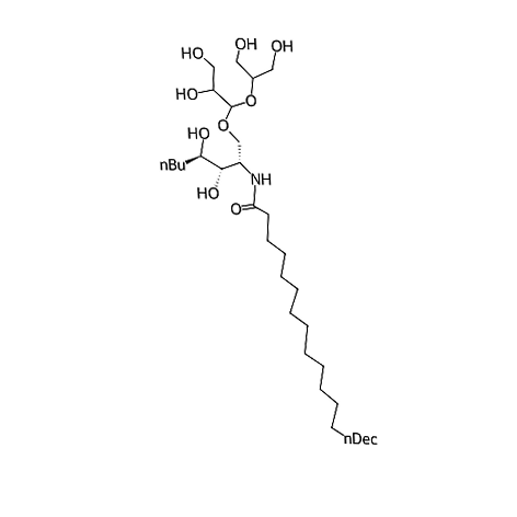 CCCCCCCCCCCCCCCCCCCCCCC(=O)N[C@@H](COC(OC(CO)CO)C(O)CO)[C@H](O)[C@H](O)CCCC